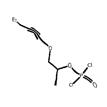 CCC#COCC(C)OP(=O)(Cl)Cl